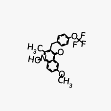 COc1ccc2c(c1)c(=O)c(Cc1ccc(OC(F)(F)F)cc1)c(C)n2O